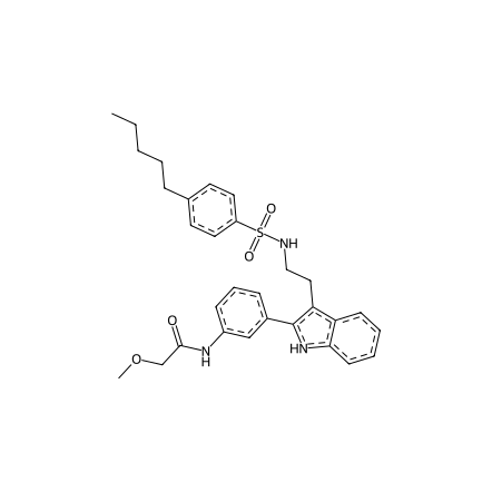 CCCCCc1ccc(S(=O)(=O)NCCc2c(-c3cccc(NC(=O)COC)c3)[nH]c3ccccc23)cc1